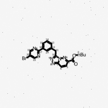 CCCCOC(=O)c1ccc2nnc(Cc3cccc(-c4ncc(Br)cn4)c3)n2n1